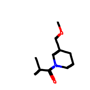 COCC1CCCN(C(=O)C(C)C)C1